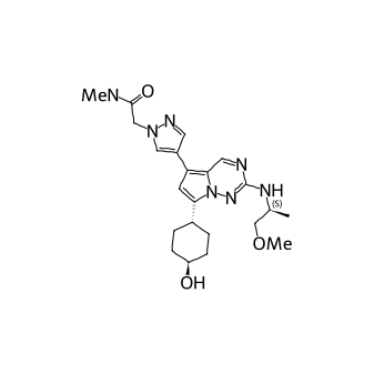 CNC(=O)Cn1cc(-c2cc([C@H]3CC[C@H](O)CC3)n3nc(N[C@@H](C)COC)ncc23)cn1